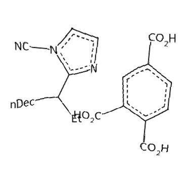 CCCCCCCCCCC(CC)c1nccn1C#N.O=C(O)c1ccc(C(=O)O)c(C(=O)O)c1